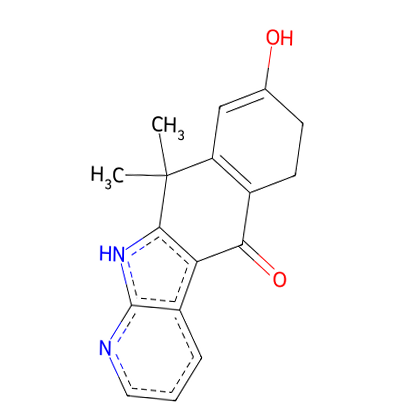 CC1(C)C2=C(CCC(O)=C2)C(=O)c2c1[nH]c1ncccc21